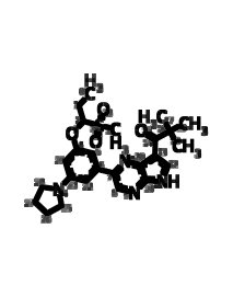 CCC(Oc1cc(-c2cnc3[nH]cc(C(=O)C(C)(C)C)c3n2)cc(N2CCCC2)c1)S(C)(=O)=O